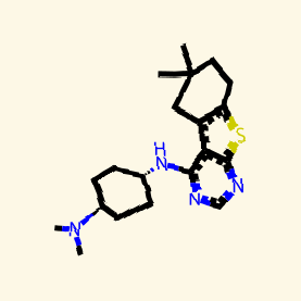 CN(C)[C@H]1CC[C@H](Nc2ncnc3sc4c(c23)CC(C)(C)CC4)CC1